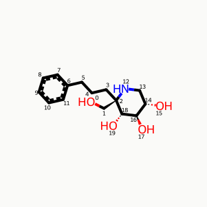 OC[C@@]1(CCCc2ccccc2)NC[C@H](O)[C@@H](O)[C@@H]1O